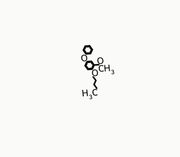 CCCCCOc1ccc(Oc2ccccc2)cc1C(C)=O